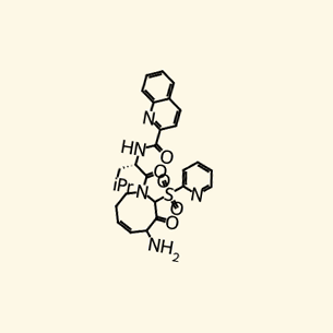 CC(C)C[C@H](NC(=O)c1ccc2ccccc2n1)C(=O)N1CCC=CC(N)C(=O)C1S(=O)(=O)c1ccccn1